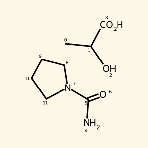 CC(O)C(=O)O.NC(=O)N1CCCC1